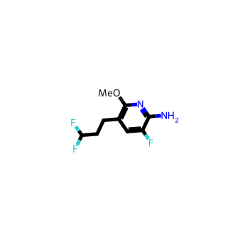 COc1nc(N)c(F)cc1CCC(F)F